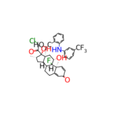 C[C@H]1C[C@H]2[C@@H]3CCC4=CC(=O)C=C[C@]4(C)[C@@]3(F)[C@@H](O)C[C@]2(C)[C@@]1(O)C(=O)CCl.O=C(O)c1ccccc1Nc1cccc(C(F)(F)F)c1